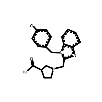 O=C(O)C1CCN(Cc2nc3ccccc3n2Cc2ccc(Cl)cc2)C1